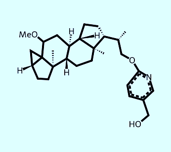 COC1C[C@H]2[C@@H]3CC[C@H]([C@H](C)COc4ccc(CO)cn4)[C@@]3(C)CC[C@@H]2[C@@]2(C)CC[C@@H]3CC132